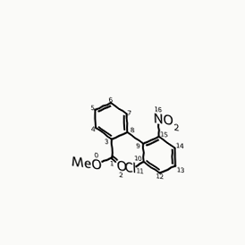 COC(=O)c1ccccc1-c1c(Cl)cccc1[N+](=O)[O-]